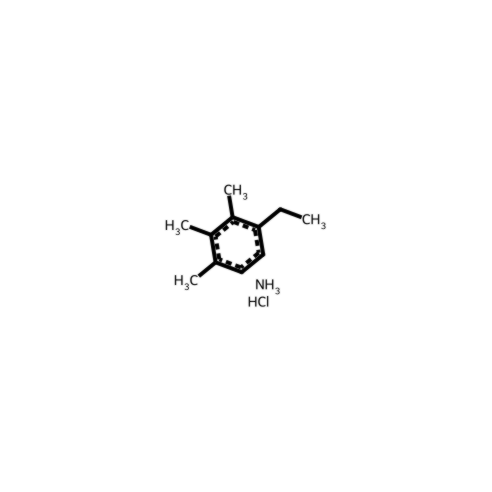 CCc1ccc(C)c(C)c1C.Cl.N